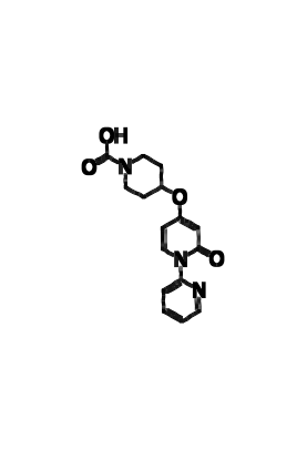 O=C(O)N1CCC(Oc2ccn(-c3ccccn3)c(=O)c2)CC1